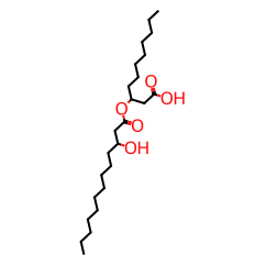 CCCCCCCCCCC(O)CC(=O)OC(CCCCCCCC)CC(=O)O